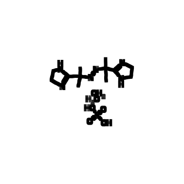 CC(C)(N=NC(C)(C)C1=NCCN1)C1=NCCN1.O.O.O=S(=O)(O)O